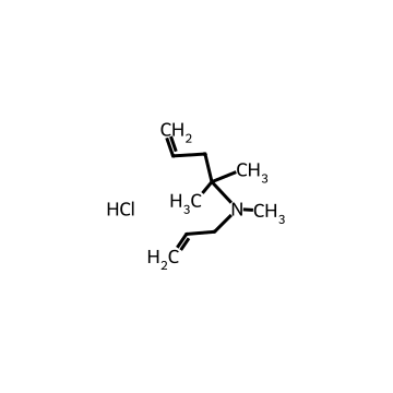 C=CCN(C)C(C)(C)CC=C.Cl